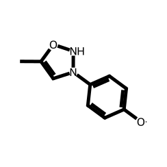 CC1=CN(c2ccc([O])cc2)NO1